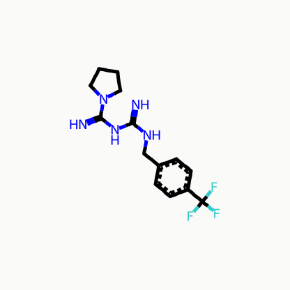 N=C(NCc1ccc(C(F)(F)F)cc1)NC(=N)N1CCCC1